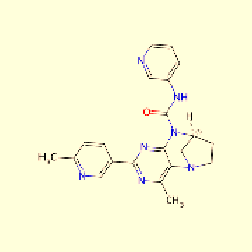 Cc1ccc(-c2nc(C)c3c(n2)N(C(=O)Nc2cccnc2)[C@H]2CCN3C2)cn1